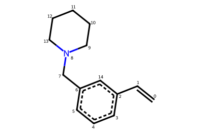 C=Cc1cccc(CN2CCCCC2)c1